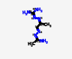 C/C(N)=N/N=C/C(C)=N\N=C(N)N